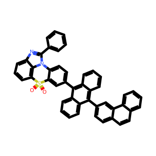 O=S1(=O)c2cc(-c3c4ccccc4c(-c4ccc5ccc6ccccc6c5c4)c4ccccc34)ccc2-n2c(-c3ccccc3)nc3cccc1c32